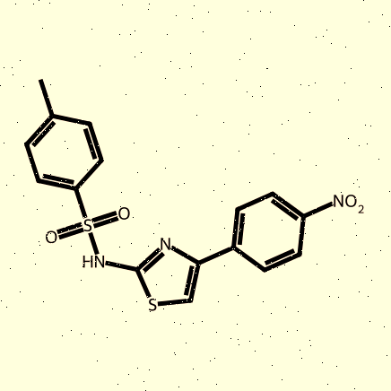 Cc1ccc(S(=O)(=O)Nc2nc(-c3ccc([N+](=O)[O-])cc3)cs2)cc1